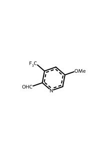 COc1cnc(C=O)c(C(F)(F)F)c1